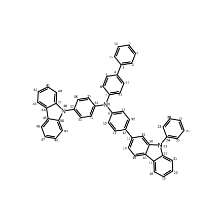 c1ccc(-c2ccc(N(c3ccc(-c4ccc5c6ccccc6n(-c6ccccc6)c5c4)cc3)c3ccc(-n4c5ccccc5c5ccccc54)cc3)cc2)cc1